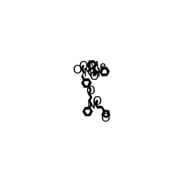 COC(=O)[C@H](Cc1ccc(OCCCN(C(=O)/C=C/c2ccoc2)c2ccccc2)cc1)Nc1ccccc1C(=O)c1ccccc1